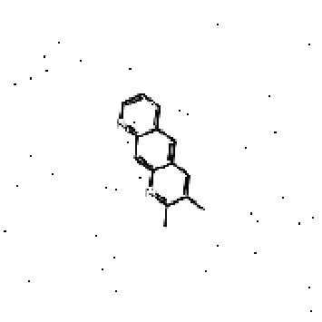 Cc1cc2cc3cccnc3cc2nc1C